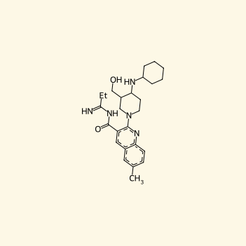 CCC(=N)NC(=O)c1cc2cc(C)ccc2nc1N1CCC(NC2CCCCC2)C(CO)C1